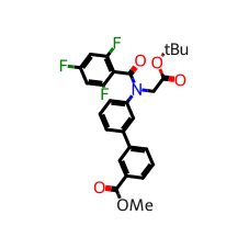 COC(=O)c1cccc(-c2cccc(N(CC(=O)OC(C)(C)C)C(=O)c3c(F)cc(F)cc3F)c2)c1